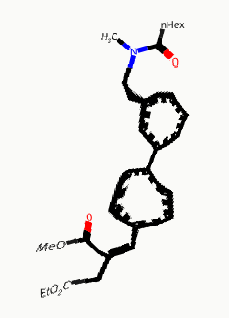 CCCCCCC(=O)N(C)Cc1cccc(-c2ccc(C=C(CC(=O)OCC)C(=O)OC)cc2)c1